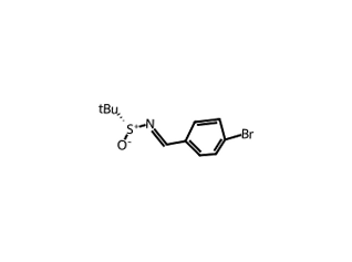 CC(C)(C)[S@@+]([O-])/N=C/c1ccc(Br)cc1